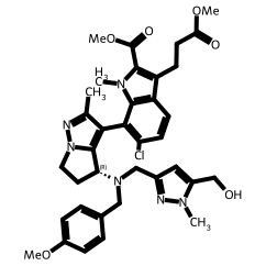 COC(=O)CCc1c(C(=O)OC)n(C)c2c(-c3c(C)nn4c3[C@H](N(Cc3ccc(OC)cc3)Cc3cc(CO)n(C)n3)CC4)c(Cl)ccc12